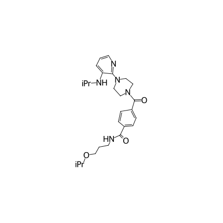 CC(C)Nc1cccnc1N1CCN(C(=O)c2ccc(C(=O)NCCCOC(C)C)cc2)CC1